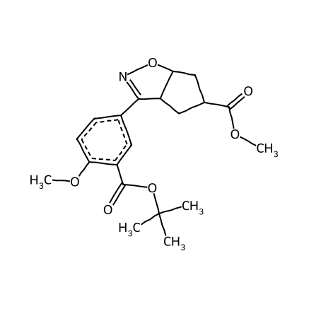 COC(=O)C1CC2ON=C(c3ccc(OC)c(C(=O)OC(C)(C)C)c3)C2C1